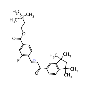 CC1(C)CC(C)(C)c2cc(C(=O)/C=C/c3ccc(C(=O)OCC[Si](C)(C)C)cc3F)ccc21